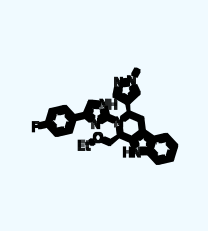 CCOC[C@@H]1c2[nH]c3ccccc3c2C[C@H](c2cnn(C)c2)N1c1nc(-c2ccc(F)cc2)c[nH]1